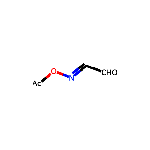 CC(=O)ON=CC=O